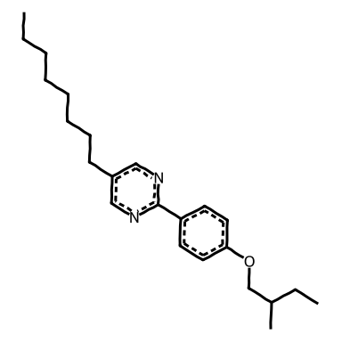 CCCCCCCCc1cnc(-c2ccc(OCC(C)CC)cc2)nc1